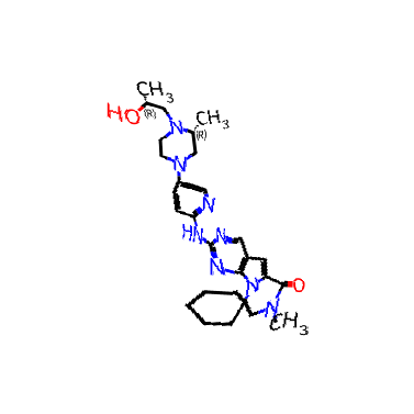 C[C@@H]1CN(c2ccc(Nc3ncc4cc5n(c4n3)C3(CCCCC3)CN(C)C5=O)nc2)CCN1C[C@@H](C)O